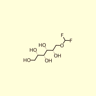 OC[C@H](O)[C@@H](O)[C@H](O)[C@@H](O)COC(F)F